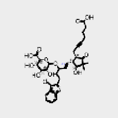 CC1(C)C(=O)[C@H](CC#CCCCC(=O)O)[C@@H](/C=C/C(CCc2sc3ccccc3c2Cl)OC2O[C@H](C(=O)O)[C@@H](O)[C@H](O)[C@H]2O)[C@@H]1O